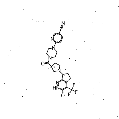 C[C@]1(C(=O)N2CCN(c3ccc(C#N)cn3)CC2)CCN(C2CCc3c2n[nH]c(=O)c3C(F)(F)F)C1